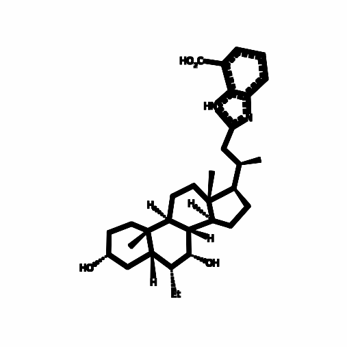 CC[C@H]1[C@@H](O)[C@@H]2[C@H](CC[C@]3(C)[C@@H]([C@H](C)Cc4nc5cccc(C(=O)O)c5[nH]4)CC[C@@H]23)[C@@]2(C)CC[C@@H](O)C[C@@H]12